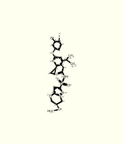 CO[C@H]1COc2cc(S(=O)(=O)NC(=O)Cc3c(C(C)C)cc(Oc4ccc(F)c(Cl)c4)nc3C3CC3)nn2C1